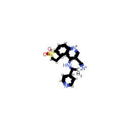 CC(Nc1c(C#N)cnc2ccc3c(c12)CCS3(=O)=O)c1ccncc1